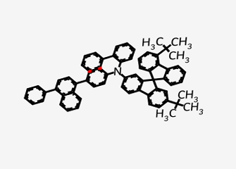 CC(C)(C)c1ccc2c(c1)C1(c3cc(N(c4ccc(-c5ccc(-c6ccccc6)c6ccccc56)cc4)c4ccccc4-c4ccccc4)ccc3-2)c2ccccc2-c2c(C(C)(C)C)cccc21